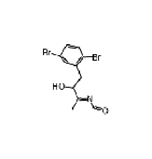 CC(=NC=O)C(O)Cc1cc(Br)ccc1Br